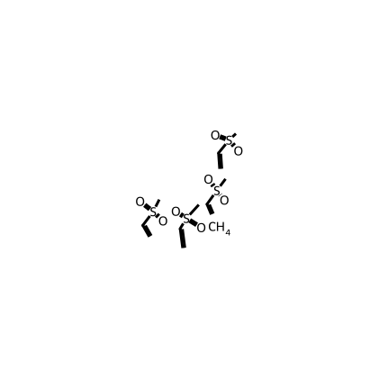 C.C=CS(C)(=O)=O.C=CS(C)(=O)=O.C=CS(C)(=O)=O.C=CS(C)(=O)=O